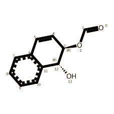 O=CO[C@@H]1C=Cc2ccccc2[C@H]1O